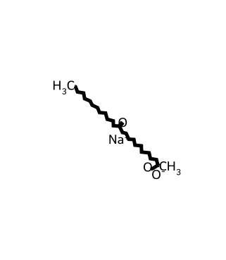 CCCCCCCCCCCCCC(=O)CCCCCCCCCCC(C)C(=O)[O-].[Na+]